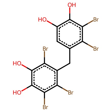 Oc1cc(Cc2c(Br)c(O)c(O)c(Br)c2Br)c(Br)c(Br)c1O